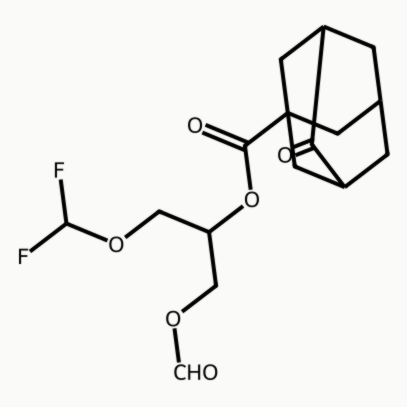 O=COCC(COC(F)F)OC(=O)C12CC3CC(C1)C(=O)C(C3)C2